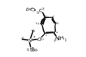 CCOC(=O)c1ccc(N)c(O[Si](C)(C)C(C)(C)C)c1